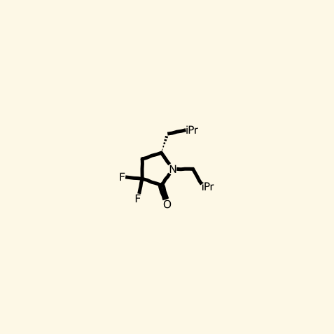 CC(C)C[C@H]1CC(F)(F)C(=O)N1CC(C)C